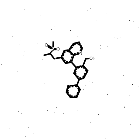 CC(Cc1cc(-c2cc(-c3ccccc3)ccc2CO)c2ncccc2c1)S(C)(=O)=O